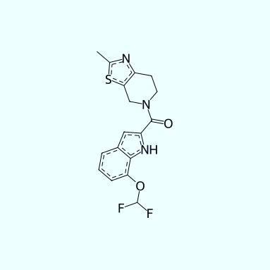 Cc1nc2c(s1)CN(C(=O)c1cc3cccc(OC(F)F)c3[nH]1)CC2